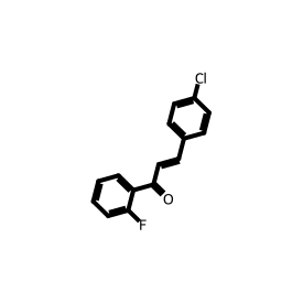 O=C(C=Cc1ccc(Cl)cc1)c1ccccc1F